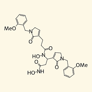 COc1ccccc1CN1CC=C(CCC(=O)N(O)C(CC(=O)NO)C2=CCN(Cc3ccccc3OC)C2=O)C1=O